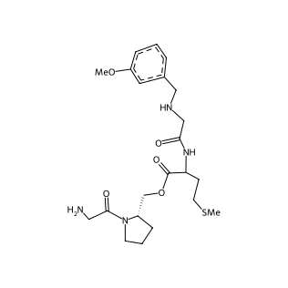 COc1cccc(CNCC(=O)NC(CCSC)C(=O)OC[C@@H]2CCCN2C(=O)CN)c1